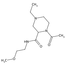 CCN1CCN(C(C)=O)C(C(=O)NCCOC)C1